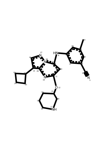 Cc1cc(C#N)cc(Nc2cc(OC3CCCNC3)nc3c(C4CCC4)cnn23)c1